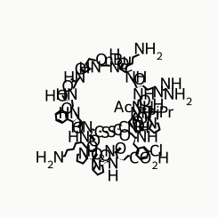 CCCC[C@@H]1NC(=O)[C@](C)(CCCCN)NC(=O)[C@H](CCCNC(=N)N)NC(=O)[C@H](CC(C)C)NC(=O)C(NC(=O)[C@H](Cc2cccc(Cl)c2)NC(=O)[C@@H]2CCCN2C(=O)[C@@H](NC(C)=O)C(C)C)CCSSC[C@@H](C(=O)NC(CCCCN)C(=O)N2CCC[C@H]2C(=O)N2CCC[C@H]2C(=O)N[C@@H](CCC(=O)O)C(N)=O)NC(=O)[C@H](Cc2ccccc2)NC(=O)[C@H](CO)NC(=O)C(C)NC(=O)[C@@H]2CCCN2C1=O